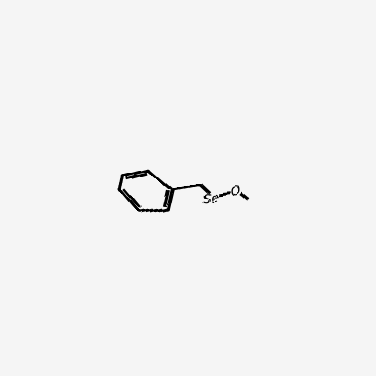 CO[Se]Cc1ccccc1